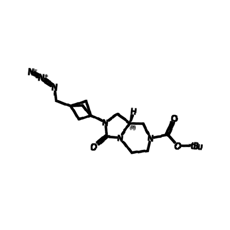 CC(C)(C)OC(=O)N1CCN2C(=O)N(C34CC(CN=[N+]=[N-])(C3)C4)C[C@@H]2C1